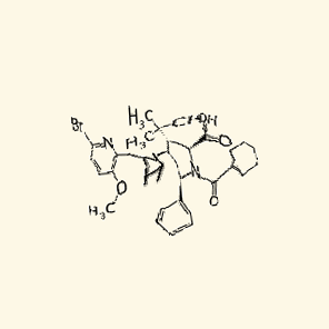 COc1ccc(Br)nc1CN[C@H]1[C@H](C(C)(C)C)[C@@H](C(=O)O)N(C(=O)C2CCCCC2)[C@H]1c1ccccc1